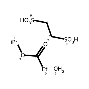 CCC(=O)OC(C)C.O.O=S(=O)(O)CCS(=O)(=O)O